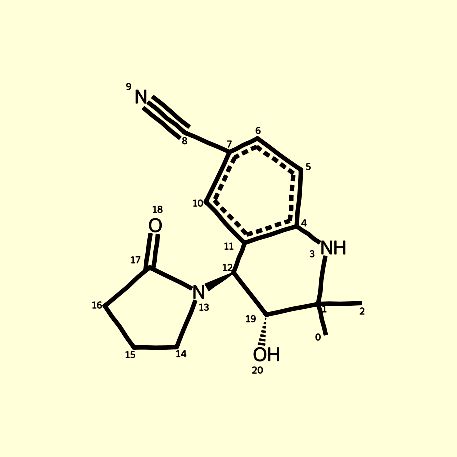 CC1(C)Nc2ccc(C#N)cc2[C@H](N2CCCC2=O)[C@H]1O